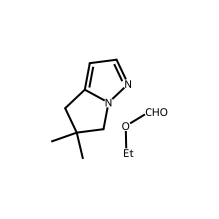 CC1(C)Cc2ccnn2C1.CCOC=O